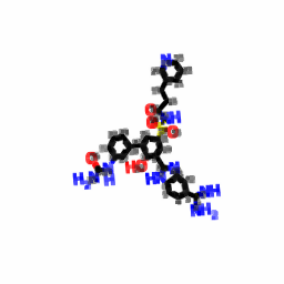 N=C(N)c1ccc2[nH]c(-c3cc(S(=O)(=O)NC(=O)CCc4cccnc4)cc(-c4cccc(NC(N)=O)c4)c3O)nc2c1